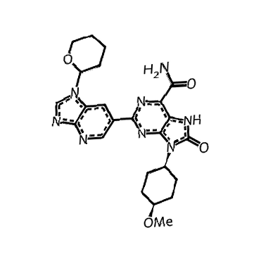 CO[C@H]1CC[C@@H](n2c(=O)[nH]c3c(C(N)=O)nc(-c4cnc5ncn(C6CCCCO6)c5c4)nc32)CC1